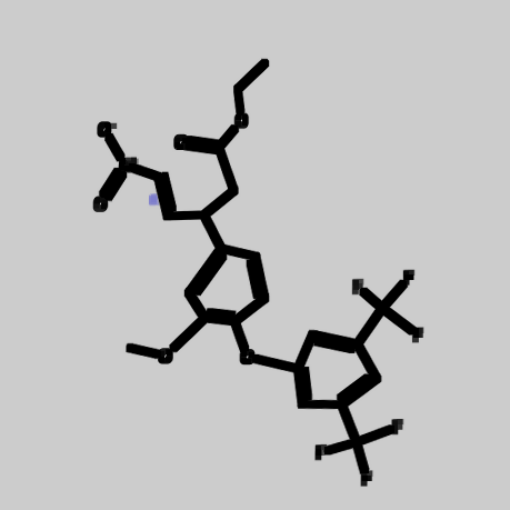 CCOC(=O)CC(/C=C/[N+](=O)[O-])c1ccc(Oc2cc(C(F)(F)F)cc(C(F)(F)F)c2)c(OC)c1